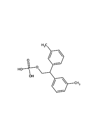 Cc1cccc(C(COP(=O)(O)O)c2cccc(C)c2)c1